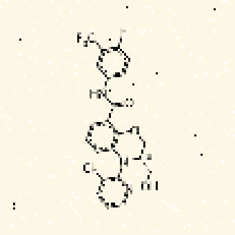 O=C(Nc1ccc(F)c(C(F)(F)F)c1)c1cccc2c1OC[C@H](CO)N2c1ncccc1Cl